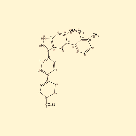 CCOC(=O)C1CC=C(c2ccc(-c3n[nH]c4cc(OC)c(-c5cccc(C)c5C)nc34)cn2)CC1